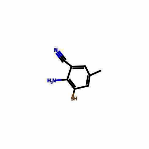 Cc1cc(S)c(N)c(C#N)c1